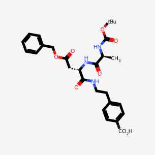 C[C@H](NC(=O)OC(C)(C)C)C(=O)N[C@@H](CC(=O)OCc1ccccc1)C(=O)NCCc1ccc(C(=O)O)cc1